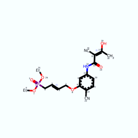 CCOP(=O)(C/C=C/COc1cc(NC(=O)/C(C#N)=C(\C)O)ccc1C#N)OCC